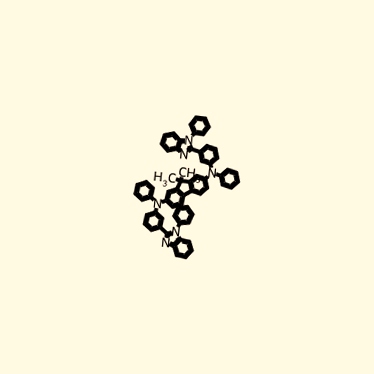 CC1(C)c2cc(N(c3ccccc3)c3cccc(-c4nc5ccccc5n4-c4ccccc4)c3)ccc2-c2ccc(N(c3ccccc3)c3cccc(-c4nc5ccccc5n4-c4ccccc4)c3)cc21